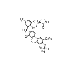 [2H]C([2H])([2H])Oc1cc2c(cc1OC)-c1cc(N(CCN3CCNC3=O)c3c(C)cc(C)cc3C)nc(=O)n1CC2